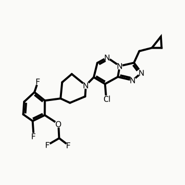 Fc1ccc(F)c(C2CCN(c3cnn4c(CC5CC5)nnc4c3Cl)CC2)c1OC(F)F